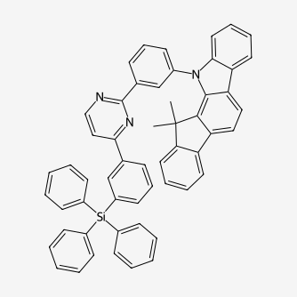 CC1(C)c2ccccc2-c2ccc3c4ccccc4n(-c4cccc(-c5nccc(-c6cccc([Si](c7ccccc7)(c7ccccc7)c7ccccc7)c6)n5)c4)c3c21